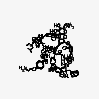 CC[C@H](CC(C)C)C(=O)N[C@H]1C(=O)C[C@@H](CC(=O)NS(=O)(=O)c2ccc(OCCN)cc2)C(=O)N[C@H]2C(=O)C[C@H]3C(=O)N[C@H](C(=O)N[C@H](C(=O)CC4C5CC6CC(C5)CC4C6)c4cc(O)cc(O)c4-c4cc3ccc4O)[C@H](O)c3ccc(c(Cl)c3)Oc3cc2cc(c3O[C@@H]2O[C@H](CN)[C@@H](O)[C@H](O)[C@H]2O)Oc2ccc(cc2Cl)[C@H]1O